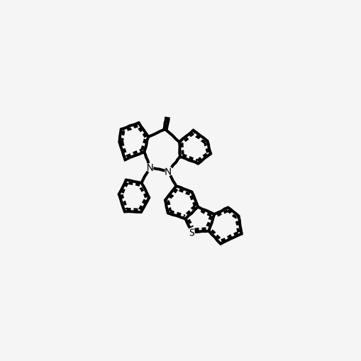 C=C1c2ccccc2N(c2ccccc2)N(c2ccc3sc4ccccc4c3c2)c2ccccc21